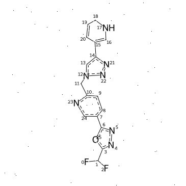 FC(F)c1nnc(-c2ccc(Cn3cc(C4=CNCC=C4)nn3)nc2)o1